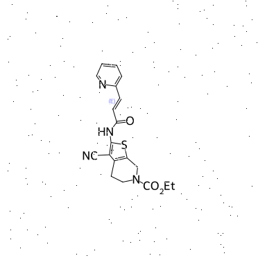 CCOC(=O)N1CCc2c(sc(NC(=O)/C=C/c3ccccn3)c2C#N)C1